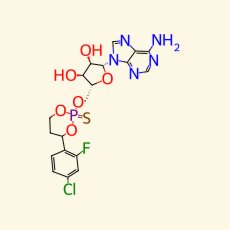 Nc1ncnc2c1ncn2[C@@H]1O[C@H](COP2(=S)OCCC(c3ccc(Cl)cc3F)O2)[C@@H](O)[C@H]1O